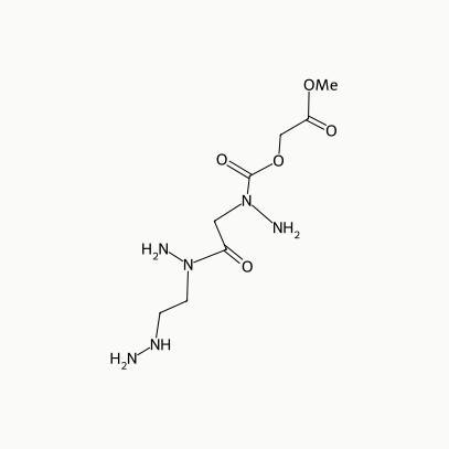 COC(=O)COC(=O)N(N)CC(=O)N(N)CCNN